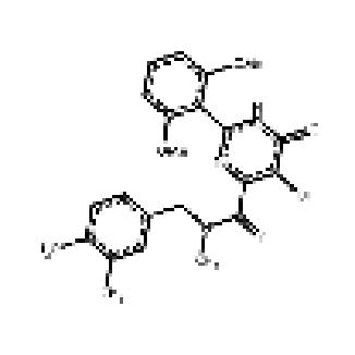 COc1cccc(OC)c1-c1nc(C(=O)N(C)Cc2ccc(C)c(C)c2)c(O)c(=O)[nH]1